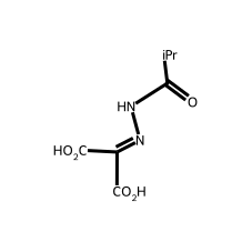 CC(C)C(=O)NN=C(C(=O)O)C(=O)O